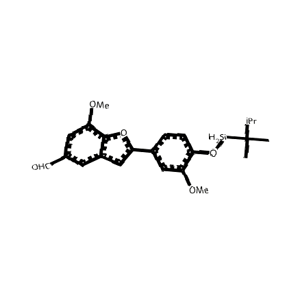 COc1cc(-c2cc3cc(C=O)cc(OC)c3o2)ccc1O[SiH2]C(C)(C)C(C)C